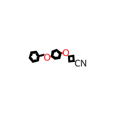 N#C[C@H]1C[C@@H](Oc2ccc(OCc3ccccc3)cc2)C1